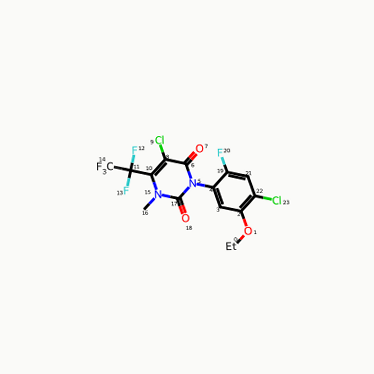 CCOc1cc(-n2c(=O)c(Cl)c(C(F)(F)C(F)(F)F)n(C)c2=O)c(F)cc1Cl